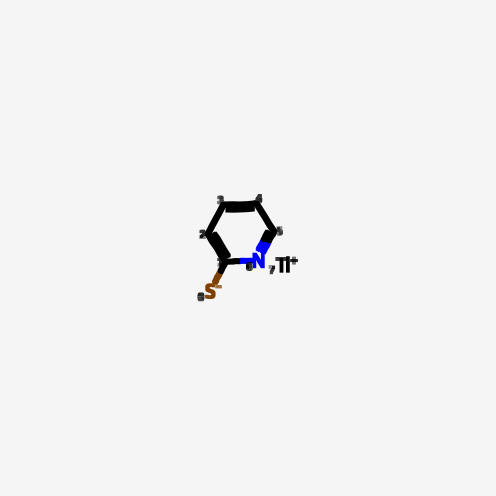 [S-]c1ccccn1.[Tl+]